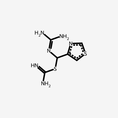 N=C(N)SC(N=C(N)N)c1cscn1